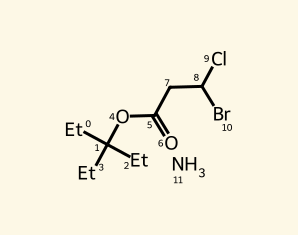 CCC(CC)(CC)OC(=O)CC(Cl)Br.N